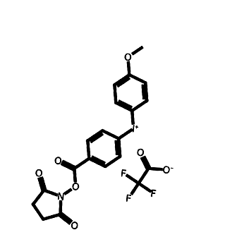 COc1ccc([I+]c2ccc(C(=O)ON3C(=O)CCC3=O)cc2)cc1.O=C([O-])C(F)(F)F